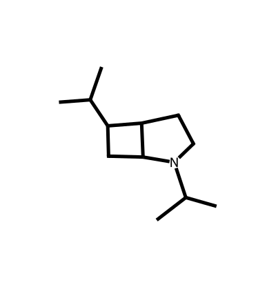 CC(C)C1CC2C1CCN2C(C)C